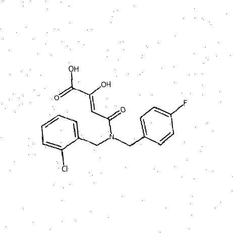 O=C(O)/C(O)=C/C(=O)N(Cc1ccc(F)cc1)Cc1ccccc1Cl